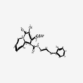 CSc1c(C#N)c(=O)n2ccccc2c1C(=O)OCCCc1ccccc1